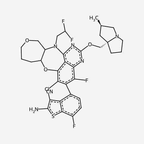 C[C@H]1CN2CCC[C@@]2(COc2nc3c4c(c(Cl)c(-c5ccc(F)c6sc(N)c(C#N)c56)c(F)c4n2)OC2CCCOCC2N3CC(F)F)C1